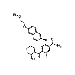 CCOCCOc1ccc2cc(Nc3nc(NC4CCCCC4N)c(F)cc3C(N)=O)ccc2n1